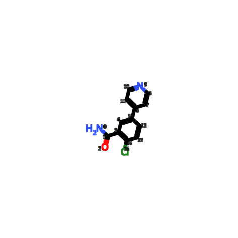 NC(=O)c1cc(-c2ccncc2)ccc1Cl